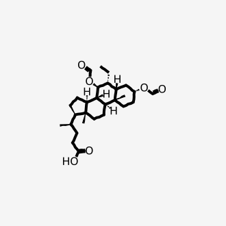 CC[C@H]1[C@H](OC=O)[C@@H]2[C@H](CC[C@]3(C)[C@@H]([C@H](C)CCC(=O)O)CC[C@@H]23)[C@@]2(C)CC[C@@H](OC=O)C[C@@H]12